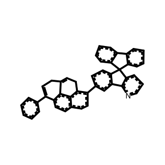 C1=C(c2ccccc2)c2ccc3ccc(-c4ccc5c(c4)-c4ncccc4C54c5ccccc5-c5ccccc54)c4c3c2C(=CC4)C1